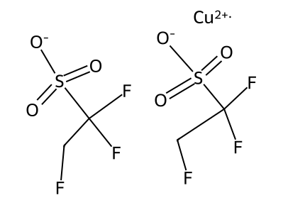 O=S(=O)([O-])C(F)(F)CF.O=S(=O)([O-])C(F)(F)CF.[Cu+2]